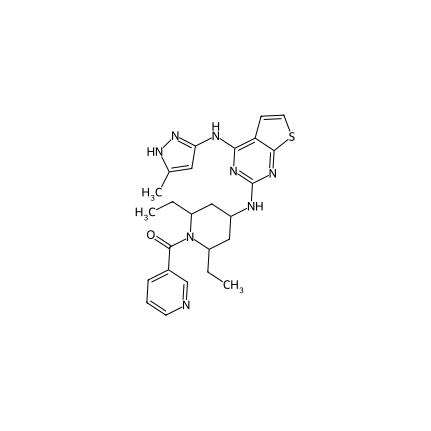 CCC1CC(Nc2nc(Nc3cc(C)[nH]n3)c3ccsc3n2)CC(CC)N1C(=O)c1cccnc1